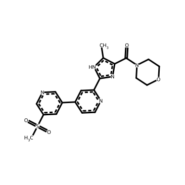 Cc1[nH]c(-c2cc(-c3cncc(S(C)(=O)=O)c3)ccn2)nc1C(=O)N1CCOCC1